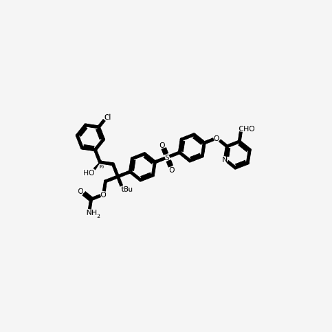 CC(C)(C)C(COC(N)=O)(C[C@@H](O)c1cccc(Cl)c1)c1ccc(S(=O)(=O)c2ccc(Oc3ncccc3C=O)cc2)cc1